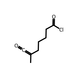 CC(=C=O)CCCCC(=O)Cl